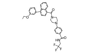 CCOc1cccc(-c2ccc(C(=O)N3CCN(c4ccc(C(=O)NCC(F)(F)F)cc4)CC3)c3ccccc23)c1